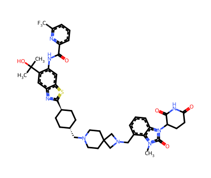 Cn1c(=O)n(C2CCC(=O)NC2=O)c2cccc(CN3CC4(CCN(C[C@H]5CC[C@H](c6nc7cc(C(C)(C)O)c(NC(=O)c8cccc(C(F)(F)F)n8)cc7s6)CC5)CC4)C3)c21